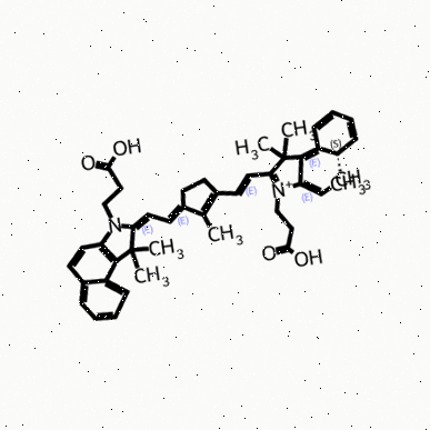 C/C=C1\C(=C2\C=CC=C[C@@H]2C)C(C)(C)C(/C=C/C2=C(C)C(=C/C=C3/N(CCC(=O)O)c4ccc5ccccc5c4C3(C)C)/CC2)=[N+]1CCC(=O)O